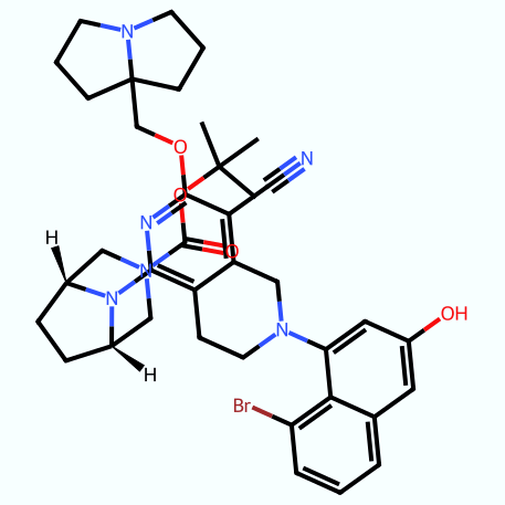 CC(C)(C)OC(=O)N1C[C@H]2CC[C@@H](C1)N2c1nc(OCC23CCCN2CCC3)c(C#N)c2c1CCN(c1cc(O)cc3cccc(Br)c13)C2